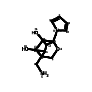 NCC12COC(n3cccc3)(CO1)C(O)C2O